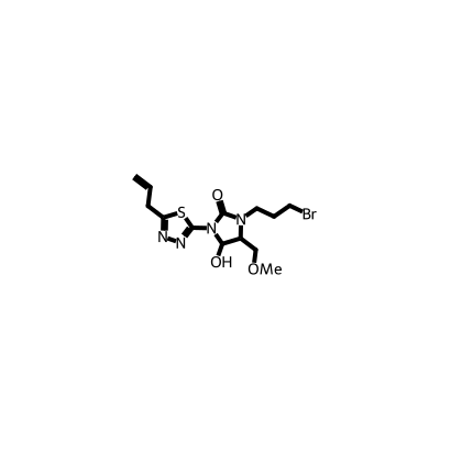 C=CCc1nnc(N2C(=O)N(CCCBr)C(COC)C2O)s1